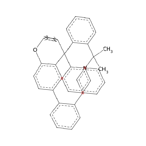 CC1(C)c2ccccc2C2(c3ccccc3Oc3ccc(-c4ccccc4-c4cccnc4)cc32)c2ccccc21